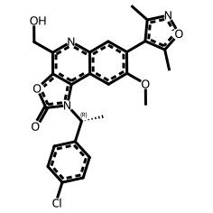 COc1cc2c(cc1-c1c(C)noc1C)nc(CO)c1oc(=O)n([C@H](C)c3ccc(Cl)cc3)c12